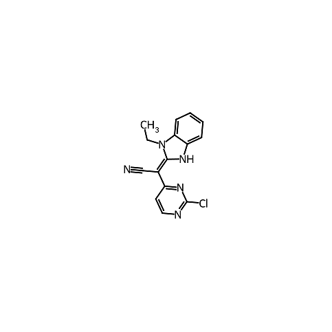 CCN1/C(=C(\C#N)c2ccnc(Cl)n2)Nc2ccccc21